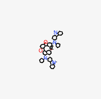 Cn1c2ccccc2c2cc(N(c3ccccc3)c3cc4oc5ccc6oc7cc(N(c8ccccc8)c8ccc9c(c8)c8ccccc8n9C)c8ccccc8c7c6c5c4c4ccccc34)ccc21